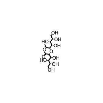 CC(=O)[C@H](O[C@@H](C(C)=O)[C@@H](O)[C@H](O)[C@H](O)CO)[C@@H](O)[C@H](O)[C@H](O)CO